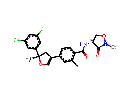 CCN1OC[C@@H](NC(=O)c2ccc(C3=COC(c4cc(Cl)cc(Cl)c4)(C(F)(F)F)C3)cc2C)C1=O